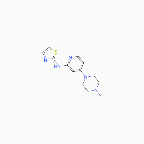 CN1CCN(c2ccnc(Nc3nccs3)c2)CC1